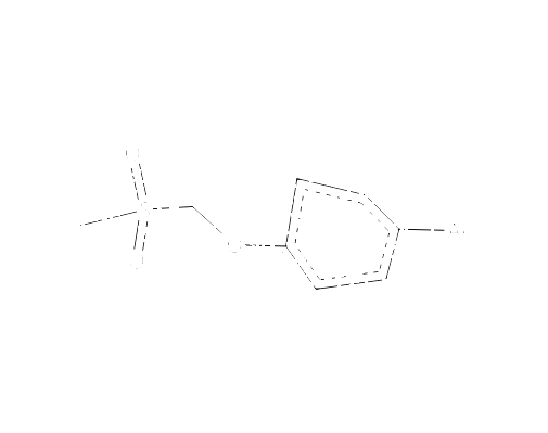 CC(=O)c1ccc(OCS(C)(=O)=O)cc1